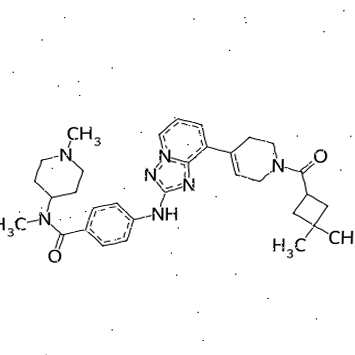 CN1CCC(N(C)C(=O)c2ccc(Nc3nc4c(C5=CCN(C(=O)C6CC(C)(C)C6)CC5)cccn4n3)cc2)CC1